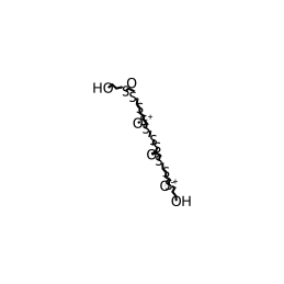 O=C(CSCCSCC[S+]([O-])CSCCSCSC(=O)CSCCSCC[S+]([O-])CCCO)SCCCO